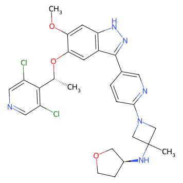 COc1cc2[nH]nc(-c3ccc(N4CC(C)(N[C@H]5CCOC5)C4)nc3)c2cc1O[C@H](C)c1c(Cl)cncc1Cl